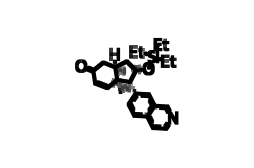 CC[Si](CC)(CC)O[C@@H]1C[C@H]2CC(=O)C=C[C@]2(C)[C@H]1c1ccc2ccncc2c1